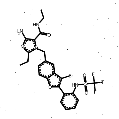 CCNC(=O)c1c(N)nc(CC)n1Cc1ccc2oc(-c3ccccc3NS(=O)(=O)C(F)(F)F)c(Br)c2c1